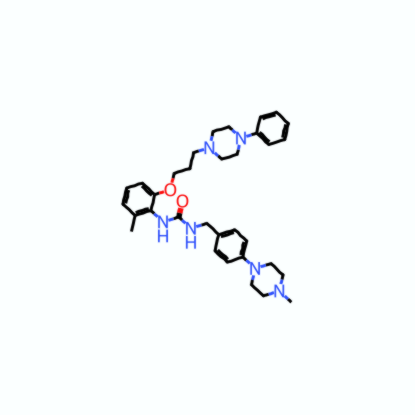 Cc1cccc(OCCCN2CCN(c3ccccc3)CC2)c1NC(=O)NCc1ccc(N2CCN(C)CC2)cc1